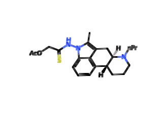 CCCN1CCC[C@@H]2c3cccc4c3c(c(C)n4NC(=S)COC(C)=O)C[C@H]21